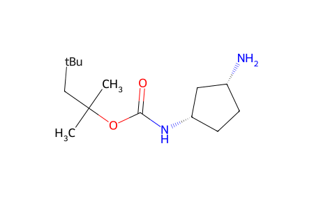 CC(C)(C)CC(C)(C)OC(=O)N[C@H]1CC[C@@H](N)C1